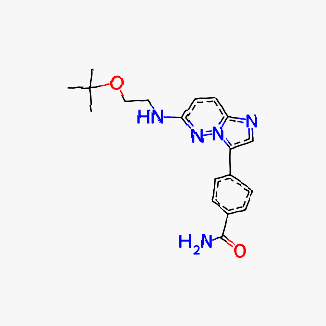 CC(C)(C)OCCNc1ccc2ncc(-c3ccc(C(N)=O)cc3)n2n1